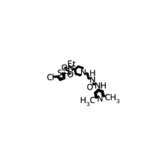 CCN(C1CCN(CCNC(=O)Nc2cc(C)nc(C)c2)CC1)S(=O)(=O)c1ccc(Cl)s1